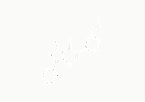 COCc1cccc(NC(=O)C2C(=O)N(c3ccccc3)N=C2C)c1